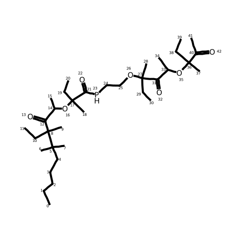 CCCCCC(C)(C)C(C)(CC)C(=O)C(C)OC(C)(CC)C(=O)PCCOC(C)(CC)C(=O)C(C)OC(C)(CC)C(C)=O